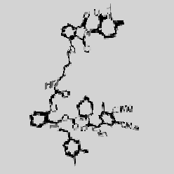 C=C1CCC(N2C(=O)c3cccc(OCCCCNC(=O)COc4ccccc4[C@@H](CCc4ccc(C)c(C)c4)OC(=O)[C@@H]4CCCCN4C(=O)[C@@H](CC)c4cc(C)c(OC)c(OC)c4)c3C2=O)C(=O)N1